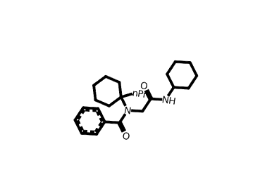 CCCC1(N(CC(=O)NC2CCCCC2)C(=O)c2ccccc2)CCCCC1